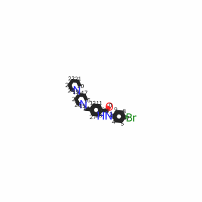 O=C(Nc1ccc(Br)cc1)c1ccc(CN2CCC(N3CCCCC3)CC2)cc1